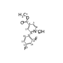 COC(=O)c1ccnc(-c2ccc(F)cc2F)c1.Cl